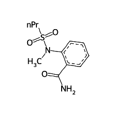 CCCS(=O)(=O)N(C)c1ccccc1C(N)=O